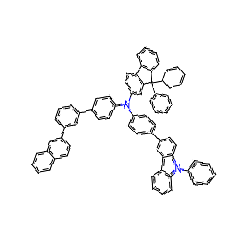 C1=CCC(C2(c3ccccc3)c3ccccc3-c3ccc(N(c4ccc(-c5cccc(-c6ccc7ccccc7c6)c5)cc4)c4ccc(-c5ccc6c(c5)c5ccccc5n6-c5ccccc5)cc4)cc32)C=C1